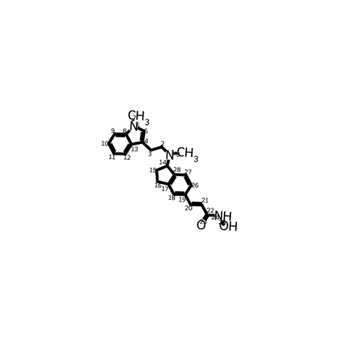 CN(CCc1cn(C)c2ccccc12)C1CCc2cc(/C=C/C(=O)NO)ccc21